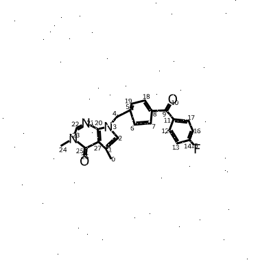 Cc1cn(Cc2ccc(C(=O)c3ccc(F)cc3)cc2)c2ncn(C)c(=O)c12